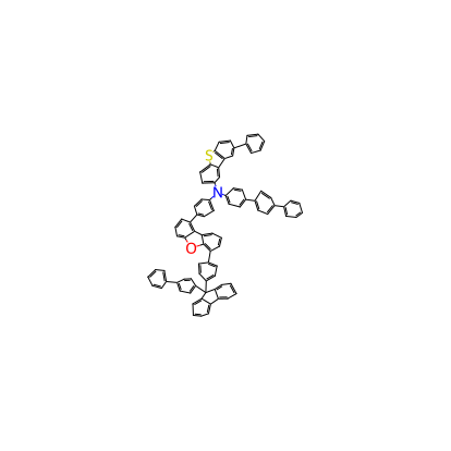 c1ccc(-c2ccc(-c3ccc(N(c4ccc(-c5cccc6oc7c(-c8ccc(C9(c%10ccc(-c%11ccccc%11)cc%10)c%10ccccc%10-c%10ccccc%109)cc8)cccc7c56)cc4)c4ccc5sc6ccc(-c7ccccc7)cc6c5c4)cc3)cc2)cc1